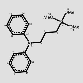 CO[Si](CCC[As](c1ccccc1)c1ccccc1)(OC)OC